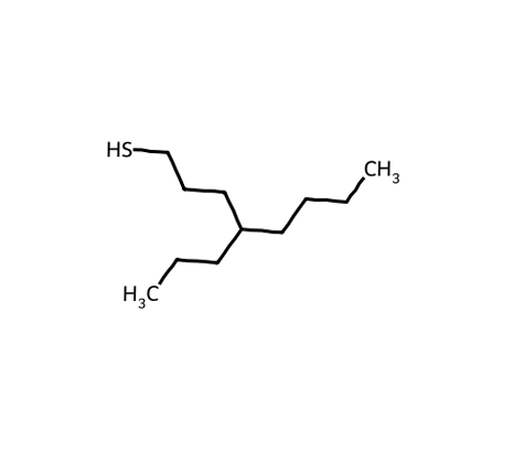 CCCCC(CCC)CCCS